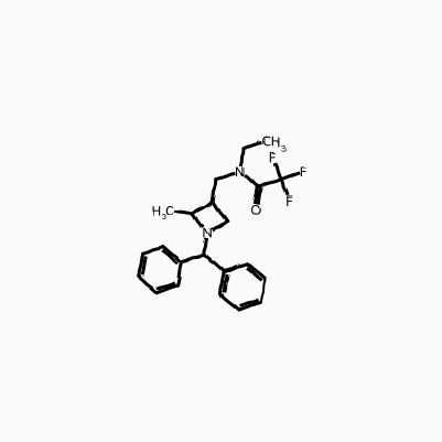 CCN(CC1CN(C(c2ccccc2)c2ccccc2)C1C)C(=O)C(F)(F)F